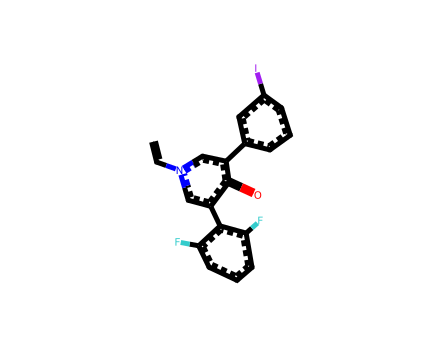 C=Cn1cc(-c2cccc(I)c2)c(=O)c(-c2c(F)cccc2F)c1